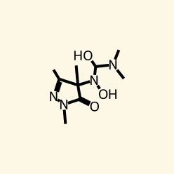 CC1=NN(C)C(=O)C1(C)N(O)C(O)N(C)C